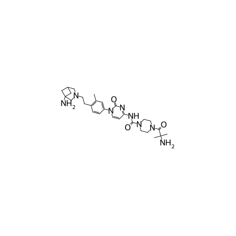 Cc1cc(-n2ccc(NC(=O)N3CCN(C(=O)C(C)(C)N)CC3)nc2=O)ccc1CCN1CC2CC(N)(C2)C1